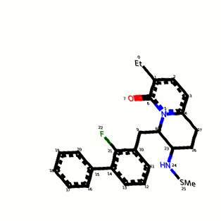 CCc1ccc2n(c1=O)C(Cc1cccc(-c3ccccc3)c1F)C(NSC)CC2